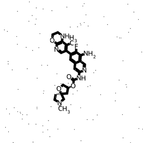 Cc1c(-c2cc3cc(NC(=O)O[C@@H]4CO[C@@]5(CCN(C)C5)C4)ncc3c(N)c2F)cnc2c1NCCO2